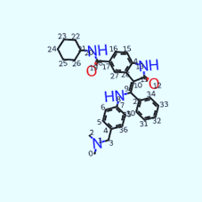 CN(C)Cc1ccc(NC(=C2C(=O)Nc3ccc(C(=O)NC4CCCCC4)cc32)c2ccccc2)cc1